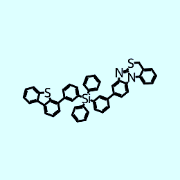 c1ccc([Si](c2ccccc2)(c2cccc(-c3ccc4c(c3)nc3n4-c4ccccc4CS3)c2)c2cccc(-c3cccc4c3sc3ccccc34)c2)cc1